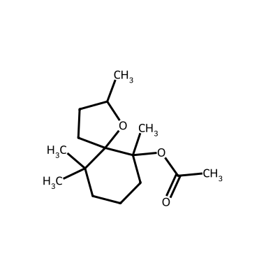 CC(=O)OC1(C)CCCC(C)(C)C12CCC(C)O2